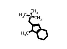 CC1C(C[Si](C)(C)C)=[C]C2=C1CCCC2